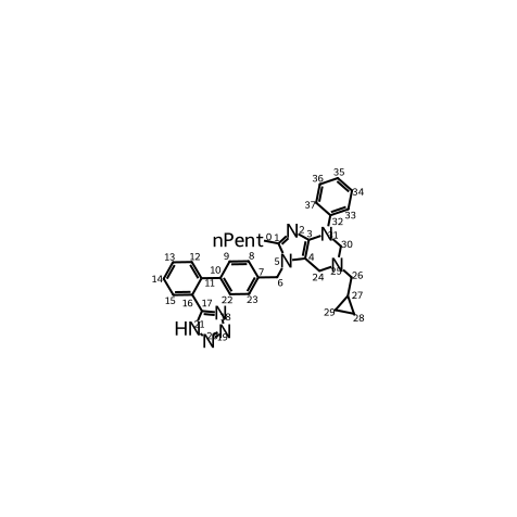 CCCCCc1nc2c(n1Cc1ccc(-c3ccccc3-c3nnn[nH]3)cc1)CN(CC1CC1)CN2c1ccccc1